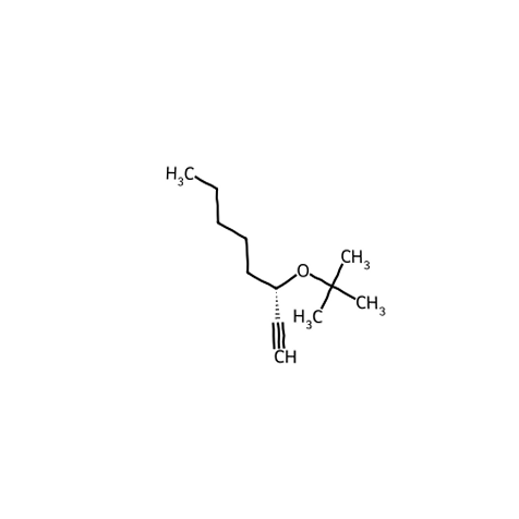 C#C[C@H](CCCCC)OC(C)(C)C